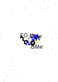 COCN1c2cc(CN3CCC(CCC(C)C(=O)O)CC3)c(OC)cc2Sc2nccnc21